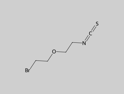 S=C=NCCOCCBr